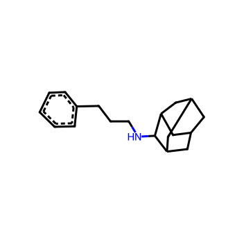 c1ccc(CCCNC2C3CC4CC(C3)CC2C4)cc1